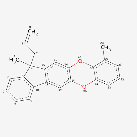 C=CCC1(C)c2ccccc2-c2cc3c(cc21)Oc1c(C)cccc1O3